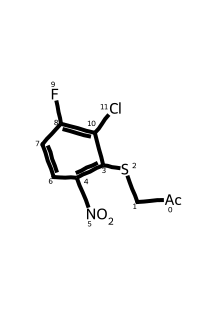 CC(=O)CSc1c([N+](=O)[O-])ccc(F)c1Cl